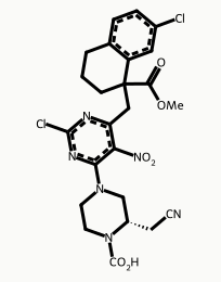 COC(=O)C1(Cc2nc(Cl)nc(N3CCN(C(=O)O)[C@@H](CC#N)C3)c2[N+](=O)[O-])CCCc2ccc(Cl)cc21